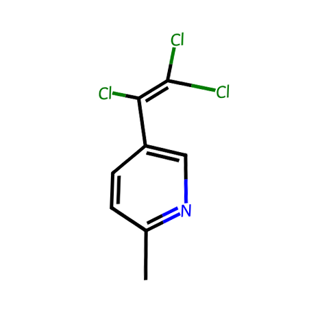 Cc1ccc(C(Cl)=C(Cl)Cl)cn1